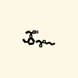 C=CC(=O)O.C=CC(=O)OCCCC.C=Cc1ccccc1